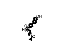 O=C(C1CC1)N1CCC(Cc2n[nH]c(=O)n2-c2ccc(-c3ccc4cc(O)ccc4c3)cc2)C1